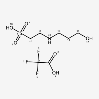 O=C(O)C(F)(F)F.O=S(=O)(O)CCNCCCO